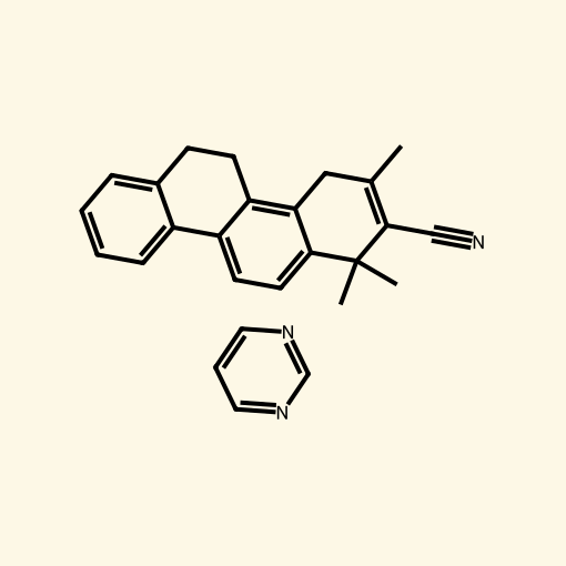 CC1=C(C#N)C(C)(C)c2ccc3c(c2C1)CCc1ccccc1-3.c1cncnc1